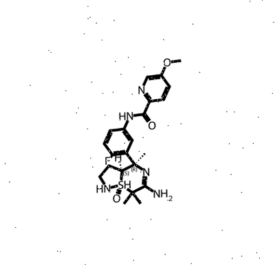 COc1ccc(C(=O)Nc2ccc(F)c([C@@]3(C)N=C(N)C(C)(C)[SH]4(=O)NCC[C@@H]34)c2)nc1